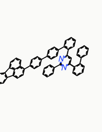 c1ccc(-c2nc(-c3ccccc3-c3ccccc3)cc(-c3ccccc3-c3ccc(-c4ccc(-c5ccc6c7c(cccc57)-c5ccccc5-6)cc4)cc3)n2)cc1